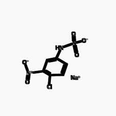 O=[N+]([O-])c1cc(NS(=O)(=O)[O-])ccc1Cl.[Na+]